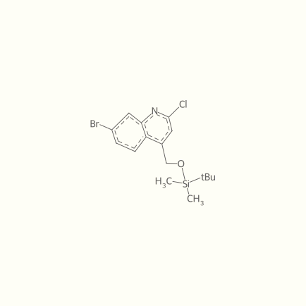 CC(C)(C)[Si](C)(C)OCc1cc(Cl)nc2cc(Br)ccc12